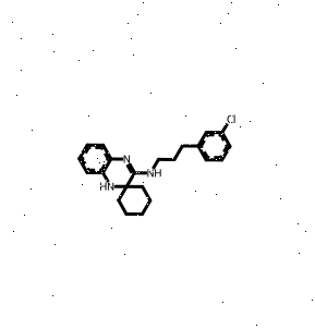 Clc1cccc(CCCNC2=Nc3ccccc3NC23CCCCC3)c1